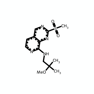 COC(C)(C)CNc1nccc2cnc(S(C)(=O)=O)nc12